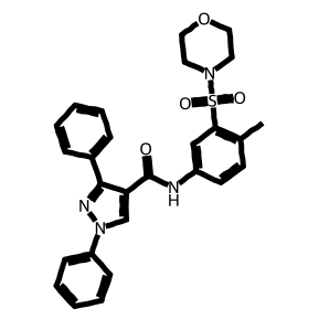 Cc1ccc(NC(=O)c2cn(-c3ccccc3)nc2-c2ccccc2)cc1S(=O)(=O)N1CCOCC1